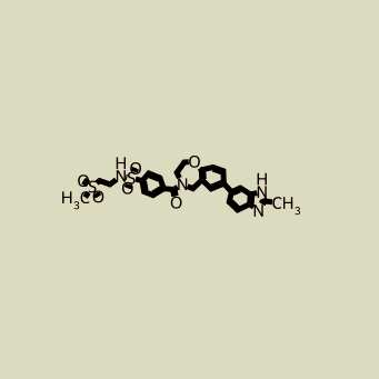 Cc1nc2ccc(-c3ccc4c(c3)CN(C(=O)c3ccc(S(=O)(=O)NCCS(C)(=O)=O)cc3)CCO4)cc2[nH]1